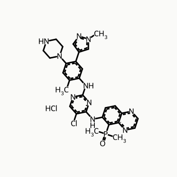 Cc1cc(N2CCNCC2)c(-c2cnn(C)c2)cc1Nc1ncc(Cl)c(Nc2ccc3nccnc3c2P(C)(C)=O)n1.Cl